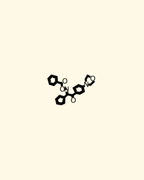 O=C(ON=C(C(=O)c1ccc(N2CCOCC2)cc1)c1ccccc1)c1ccccc1